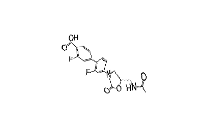 CC(=O)NC[C@H]1CN(c2ccc(-c3ccc(C(=O)O)c(F)c3)c(F)c2)C(=O)O1